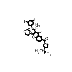 CC(Nc1cc(F)cc(F)c1)c1c(N2CCOCC2)oc2ccc(C(=O)N3CCC(N(C)C)C3)cc2c1=O